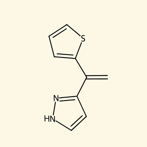 C=C(c1cc[nH]n1)c1cccs1